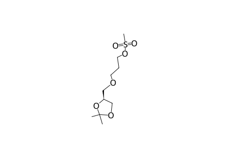 CC1(C)OC[C@H](COCCCOS(C)(=O)=O)O1